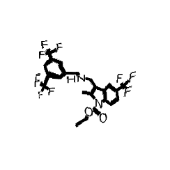 CCOC(=O)N1c2ccc(C(F)(F)F)cc2C(CNCc2cc(C(F)(F)F)cc(C(F)(F)F)c2)C1C